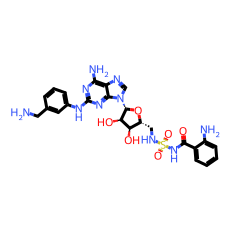 NCc1cccc(Nc2nc(N)c3ncn([C@@H]4O[C@H](CNS(=O)(=O)NC(=O)c5ccccc5N)[C@@H](O)[C@H]4O)c3n2)c1